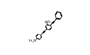 Nc1ccc(C#Cc2ccc(C#Cc3ccccc3)c([N+](=O)[O-])c2)cc1